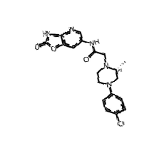 C[C@@H]1CN(c2ccc(Cl)cc2)CCN1CC(=O)Nc1cnc2[nH]c(=O)oc2c1